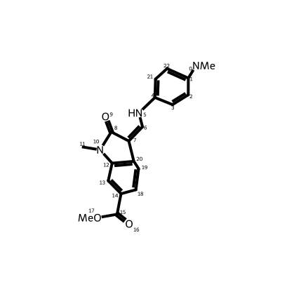 CNc1ccc(N/C=C2\C(=O)N(C)c3cc(C(=O)OC)ccc32)cc1